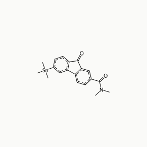 CN(C)C(=O)c1ccc2c(c1)C(=O)c1cc[c]([Sn]([CH3])([CH3])[CH3])cc1-2